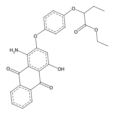 CCOC(=O)C(CC)Oc1ccc(Oc2cc(O)c3c(c2N)C(=O)c2ccccc2C3=O)cc1